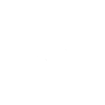 CC1CC(CN2CCC(F)C2)C(C)N1C